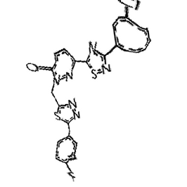 O=c1ccc(-c2nc(-c3cccc(Cl)c3)ns2)nn1Cc1nnc(-c2ccc(F)cc2)s1